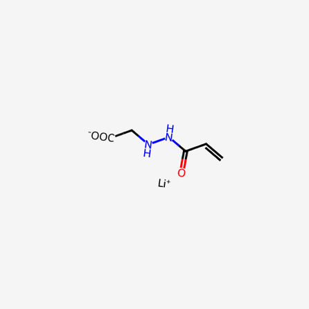 C=CC(=O)NNCC(=O)[O-].[Li+]